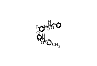 CN1CCN(C(=O)Nc2cc(Oc3ccc(NC(=O)NC(=O)Cc4ccccc4)cc3F)ccn2)CC1